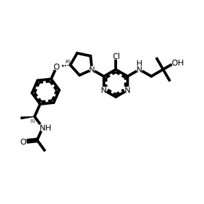 CC(=O)N[C@@H](C)c1ccc(O[C@@H]2CCN(c3ncnc(NCC(C)(C)O)c3Cl)C2)cc1